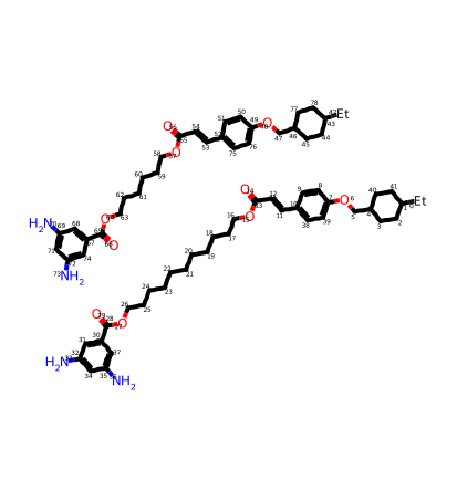 CCC1CCC(COc2ccc(C=CC(=O)OCCCCCCCCCCCOC(=O)c3cc(N)cc(N)c3)cc2)CC1.CCC1CCC(COc2ccc(C=CC(=O)OCCCCCCOC(=O)c3cc(N)cc(N)c3)cc2)CC1